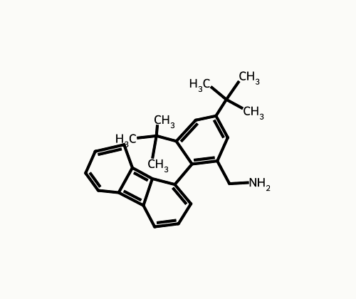 CC(C)(C)c1cc(CN)c(-c2cccc3c2=c2ccccc2=3)c(C(C)(C)C)c1